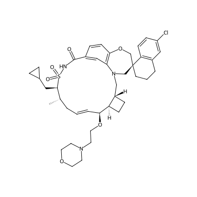 C[C@H]1C/C=C/[C@H](OCCN2CCOCC2)[C@@H]2CC[C@H]2CN2C[C@@]3(CCCc4cc(Cl)ccc43)COc3ccc(cc32)C(=O)NS(=O)(=O)[C@@H]1CC1CC1